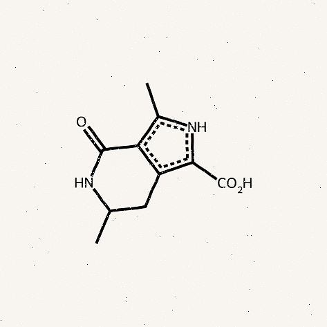 Cc1[nH]c(C(=O)O)c2c1C(=O)NC(C)C2